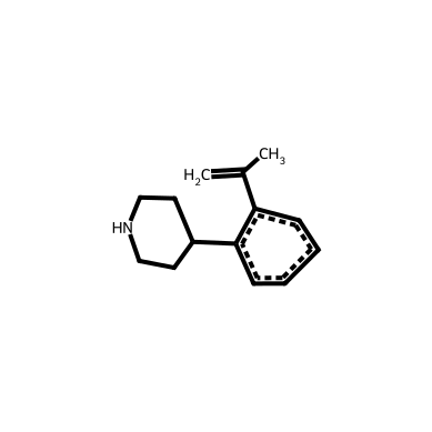 C=C(C)c1ccccc1C1CCNCC1